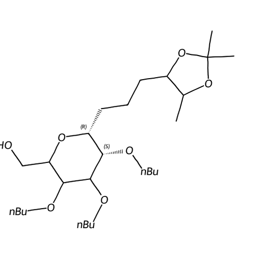 CCCCOC1C(CO)O[C@H](CCCC2OC(C)(C)OC2C)[C@H](OCCCC)C1OCCCC